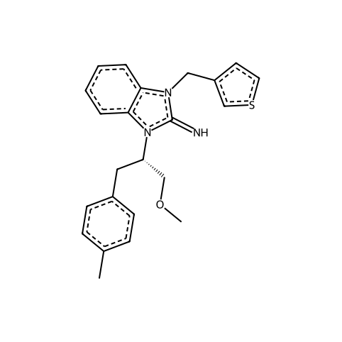 COC[C@H](Cc1ccc(C)cc1)n1c(=N)n(Cc2ccsc2)c2ccccc21